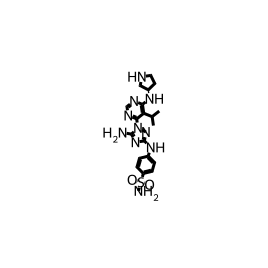 CC(C)c1c(N[C@H]2CCNC2)ncnc1-n1nc(Nc2ccc(S(N)(=O)=O)cc2)nc1N